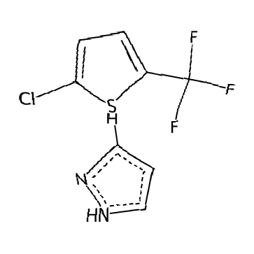 FC(F)(F)C1=CC=C(Cl)[SH]1c1cc[nH]n1